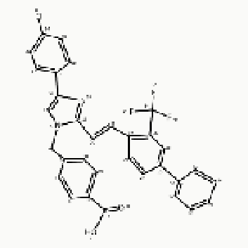 O=C(O)c1ccc(Cn2cc(-c3ccc(Cl)cc3)nc2/C=C/c2ccc(-c3ccccc3)cc2C(F)(F)F)cc1